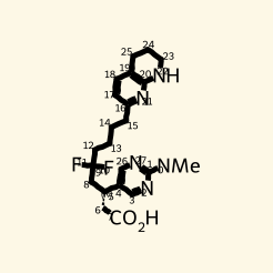 CNc1ncc([C@H](CC(=O)O)CC(F)(F)CCCCc2ccc3c(n2)NCCC3)cn1